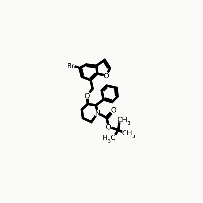 CC(C)(C)OC(=O)N1CCCC(OCc2cc(Br)cc3ccoc23)C1c1ccccc1